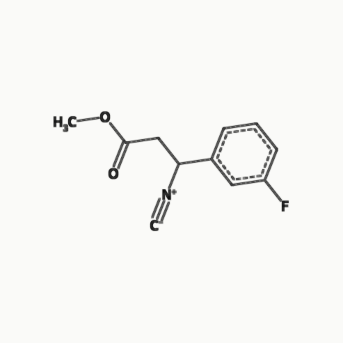 [C-]#[N+]C(CC(=O)OC)c1cccc(F)c1